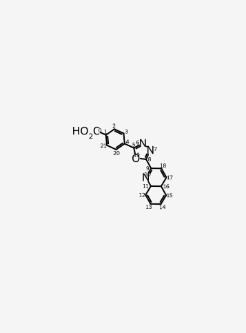 O=C(O)c1ccc(-c2nnc(C3=NC4C=CC=CC4C=C3)o2)cc1